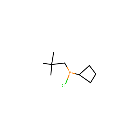 CC(C)(C)CP(Cl)C1CCC1